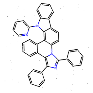 c1ccc(-c2nc(-c3ccccc3)n3c4ccc5c6ccccc6n(-c6ccccn6)c5c4c4ccccc4c23)cc1